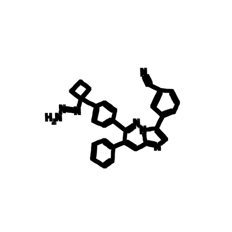 N#Cc1cccc(-c2cnc3cc(-c4ccccc4)c(-c4ccc(C5(N=NN)CCC5)cc4)nn23)c1